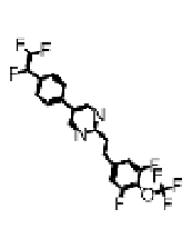 FC(F)=C(F)c1ccc(-c2cnc(CCc3cc(F)c(OC(F)(F)F)c(F)c3)nc2)cc1